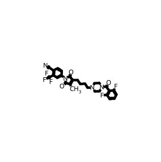 CC1=C(CCCCN2CCN(C(=O)c3c(F)cccc3F)CC2)C(=O)N(c2ccc(C#N)c(C(F)(F)F)c2)C1=O